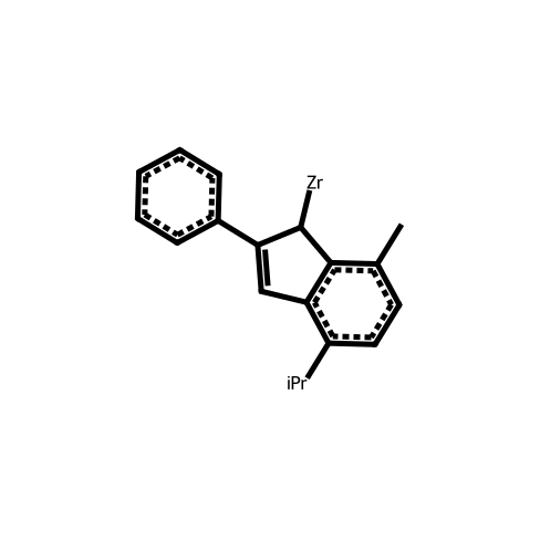 Cc1ccc(C(C)C)c2c1[CH]([Zr])C(c1ccccc1)=C2